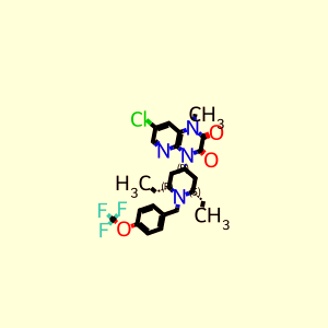 CC[C@@H]1C[C@H](n2c(=O)c(=O)n(C)c3cc(Cl)cnc32)C[C@H](CC)N1Cc1ccc(OC(F)(F)F)cc1